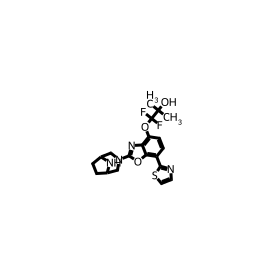 CC(C)(O)C(F)(F)Oc1ccc(-c2nccs2)c2oc(N3CC4CCC(C3)N4)nc12